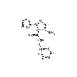 Nc1onc(-c2nccs2)c1C(=O)NCc1ccccc1